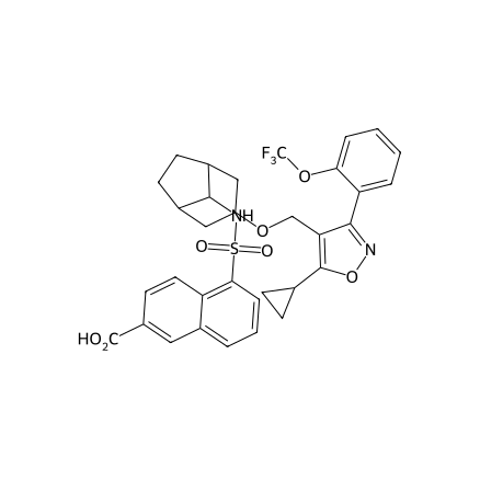 O=C(O)c1ccc2c(S(=O)(=O)NC3C4CCC3CC(OCc3c(-c5ccccc5OC(F)(F)F)noc3C3CC3)C4)cccc2c1